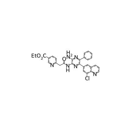 CCOC(=O)c1ccc(CC(=O)Nc2nc(-c3cc(Cl)c4ncccc4c3)c(-c3ccccc3)nc2N)nc1